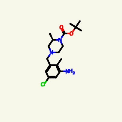 Cc1c(N)cc(Cl)cc1CN1CCN(C(=O)OC(C)(C)C)[C@H](C)C1